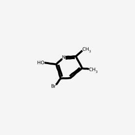 Cc1cc(Br)c(O)nc1C